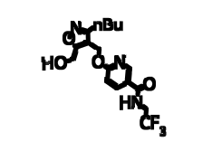 CCCCc1noc(CO)c1COc1ccc(C(=O)NCC(F)(F)F)cn1